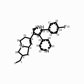 CCC1CC2C=C(c3c[nH]c(-c4ccc(F)cc4)c3-c3ccncc3)CCN2C1